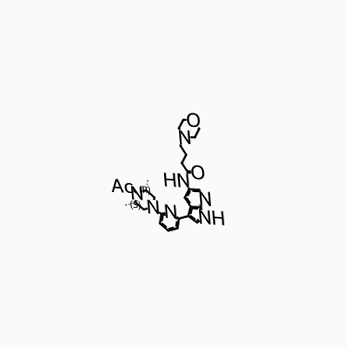 CC(=O)N1[C@H](C)CN(c2cccc(-c3c[nH]c4ncc(NC(=O)CCCN5CCOCC5)cc34)n2)C[C@@H]1C